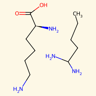 CCCCC(N)N.NCCCC[C@H](N)C(=O)O